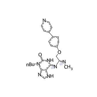 CCCCn1c(=O)[nH]/c(=N\C(COc2ccc(-c3ccncc3)cc2)=N/C)c2[nH]cnc21